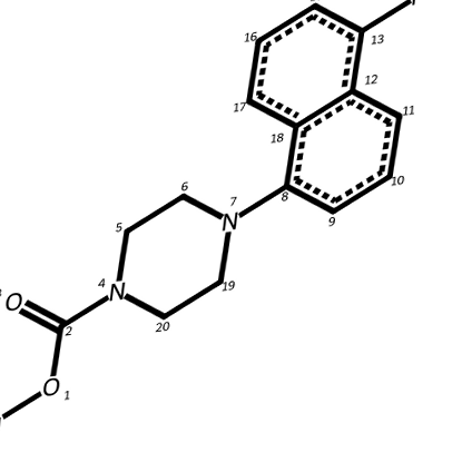 CC(C)(C)OC(=O)N1CCN(c2cccc3c(F)cccc23)CC1